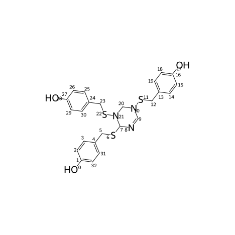 Oc1ccc(CSC2N=CN(SCc3ccc(O)cc3)CN2SCc2ccc(O)cc2)cc1